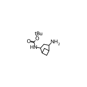 CC(C)(C)OC(=O)NC1CC(N)C2CC1C2